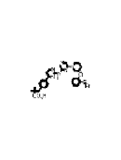 CCOc1ccccc1O[C@@H]1CCCN(c2cncc(Nc3nccc(-c4ccc(CC(C)(C)C(=O)O)cc4)n3)n2)C1